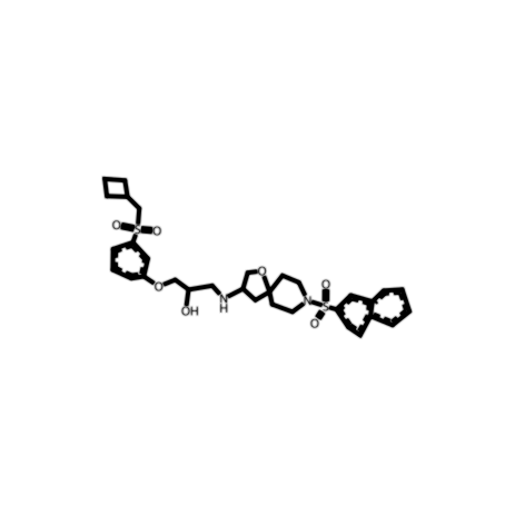 O=S(=O)(CC1CCC1)c1cccc(OCC(O)CNC2COC3(CCN(S(=O)(=O)c4ccc5ccccc5c4)CC3)C2)c1